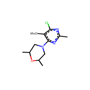 COc1c(Cl)nc(C)nc1N1CC(C)OC(C)C1